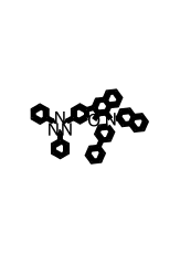 c1ccc(-c2ccc(N(c3ccc4ccccc4c3)c3c4ccccc4cc4c3oc3cc(-c5nc(-c6ccccc6)nc(-c6ccccc6)n5)ccc34)cc2)cc1